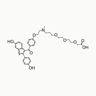 CN(CCCOCCOCCOCC(=O)O)CCOc1ccc(C(=O)c2c(-c3ccc(O)cc3)sc3cc(O)ccc23)cc1